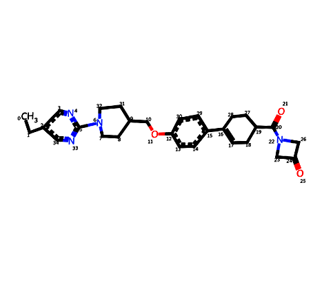 CCc1cnc(N2CCC(COc3ccc(C4=CCC(C(=O)N5CC(=O)C5)CC4)cc3)CC2)nc1